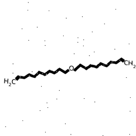 C=CCCCCCCCCCOCCCCCCCCCC=C